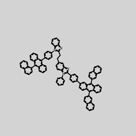 c1ccc(-n2c(-c3ccc(-c4ccc5c(-c6ccc7ccccc7c6)c6ccccc6c(-c6ccc7ccccc7c6)c5c4)cc3)nc3cc(CCc4nc5ccccc5n4-c4ccc(-c5c6ccccc6c(-c6cccc7ccccc67)c6ccccc56)cc4)ccc32)cc1